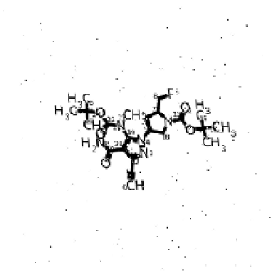 C#Cc1nn(C2CC(CF)N(C(=O)OC(C)(C)C)C2)c(N(C)C(=O)OC(C)(C)C)c1C(N)=O